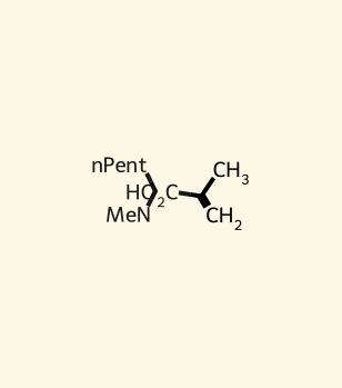 C=C(C)C(=O)O.CCCCCCNC